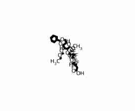 CCOCO[C@@H]1[C@H](OS(=O)(=O)C(F)(F)C(F)(F)OC(F)(F)C(F)(F)CC(=O)O)[C@H](OC)O[C@@H]2COC(c3ccccc3)O[C@@H]12